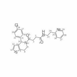 O=C(CCC(=O)N1CCc2sccc2C1c1ccc(Cl)cc1)NCCc1ccccn1